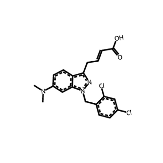 CN(C)c1ccc2c(CC=CC(=O)O)nn(Cc3ccc(Cl)cc3Cl)c2c1